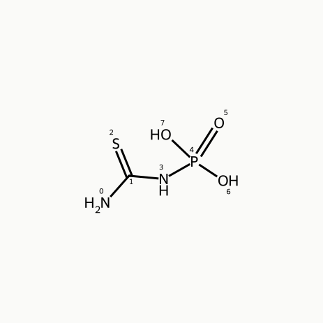 NC(=S)NP(=O)(O)O